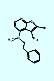 CC(=O)c1sc2nccc(N(C)CCc3ccccc3)c2c1N